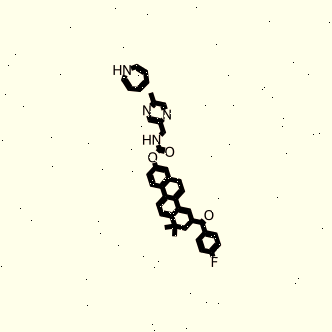 C1=CC=CNC=C1.Cc1cnc(CNC(=O)Oc2ccc3c(c2)CC=c2c-3ccc3c2=CC(C(=O)c2ccc(F)cc2)CC3(C)C)cn1